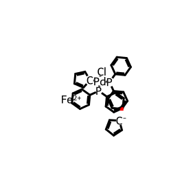 [Cl][Pd]([c-]1cccc1)([P](c1ccccc1)c1ccccc1)[P](c1ccccc1)c1ccccc1.[Fe+2].c1cc[cH-]c1